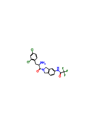 N[C@H](Cc1ccc(Cl)cc1Cl)C(=O)N1Cc2ccc(NC(=O)C(F)(F)F)cc2C1